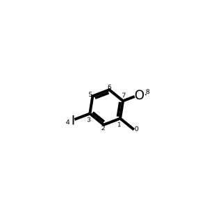 Cc1cc(I)ccc1[O]